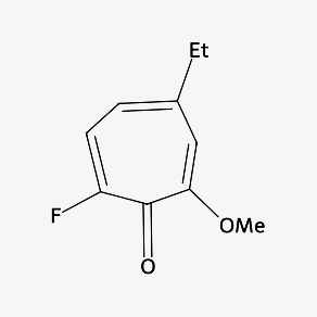 CCc1ccc(F)c(=O)c(OC)c1